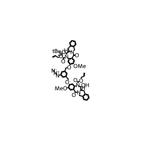 C=CCOC(=O)N1c2cc(OCc3cc(COc4cc5c(cc4OC)C(=O)N4Cc6ccccc6C[C@H]4C(O[Si](C)(C)C(C)(C)C)N5C(=O)OCC=C)cc(N=[N+]=[N-])c3)c(OC)cc2C(=O)N2Cc3ccccc3C[C@H]2C1O